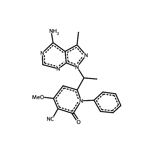 COc1cc(C(C)n2nc(C)c3c(N)ncnc32)n(-c2ccccc2)c(=O)c1C#N